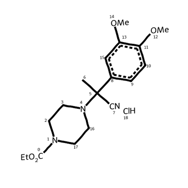 CCOC(=O)N1CCN(C(C)(C#N)c2ccc(OC)c(OC)c2)CC1.Cl